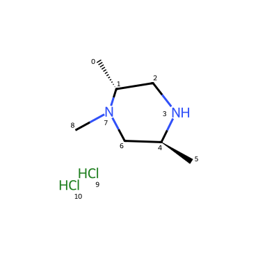 C[C@@H]1CN[C@@H](C)CN1C.Cl.Cl